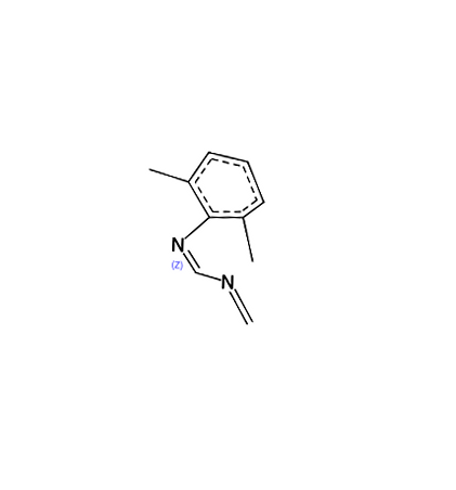 C=N/C=N\c1c(C)cccc1C